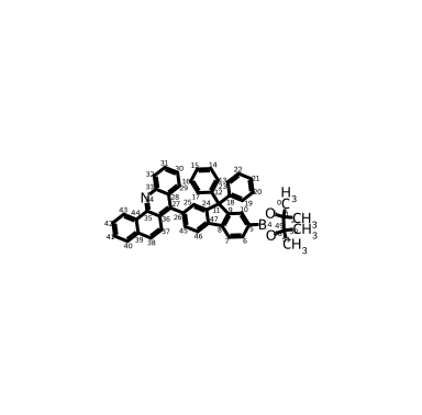 CC1(C)OB(c2ccc3c(c2)C(c2ccccc2)(c2ccccc2)c2cc(-c4c5ccccc5nc5c4ccc4ccccc45)ccc2-3)OC1(C)C